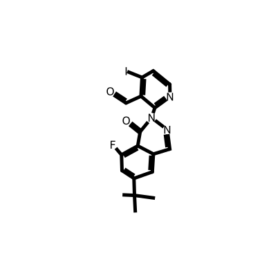 CC(C)(C)c1cc(F)c2c(=O)n(-c3nccc(I)c3C=O)ncc2c1